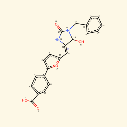 O=C(O)c1ccc(-c2ccc(/C=C3\NC(=O)N(Cc4ccccc4)C3O)o2)cc1